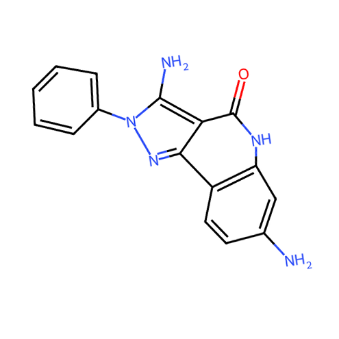 Nc1ccc2c(c1)[nH]c(=O)c1c(N)n(-c3ccccc3)nc12